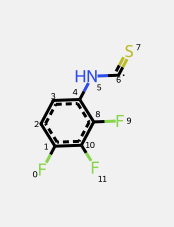 Fc1ccc(N[C]=S)c(F)c1F